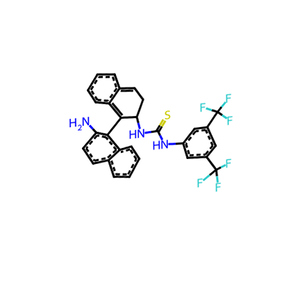 Nc1ccc2ccccc2c1C1=c2ccccc2=CCC1NC(=S)Nc1cc(C(F)(F)F)cc(C(F)(F)F)c1